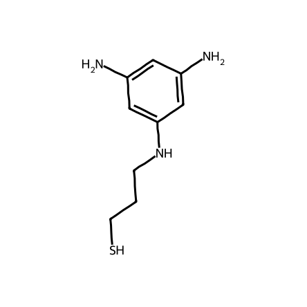 Nc1cc(N)cc(NCCCS)c1